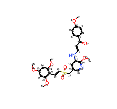 COc1ccc(C(=O)/C=C/Nc2cc(CS(=O)(=O)/C=C/c3c(OC)cc(OC)cc3OC)cnc2OC)cc1